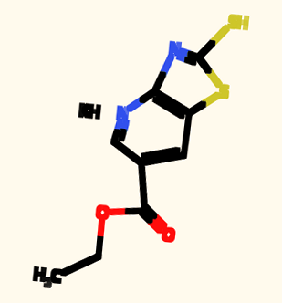 CCOC(=O)c1cnc2nc(S)sc2c1.[KH]